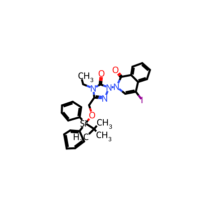 CCn1c(CO[Si](c2ccccc2)(c2ccccc2)C(C)(C)C)nn(-n2cc(I)c3ccccc3c2=O)c1=O